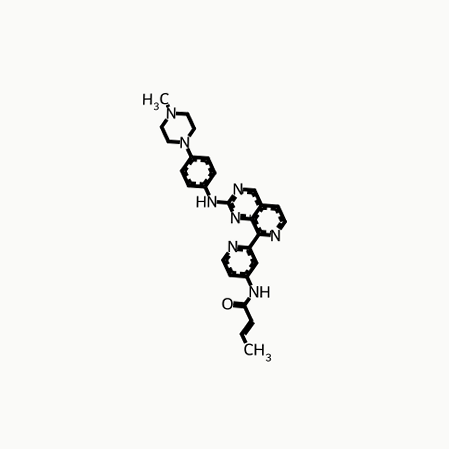 CC=CC(=O)Nc1ccnc(-c2nccc3cnc(Nc4ccc(N5CCN(C)CC5)cc4)nc23)c1